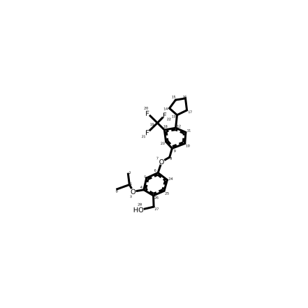 CC(C)Oc1cc(OCc2ccc(C3CCCC3)c(C(F)(F)F)c2)ccc1CO